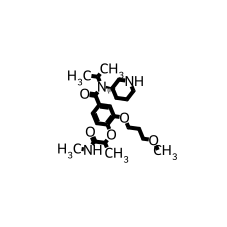 CNC(=O)C(C)Oc1ccc(C(=O)N(C(C)C)[C@@H]2CCCNC2)cc1OCCCOC